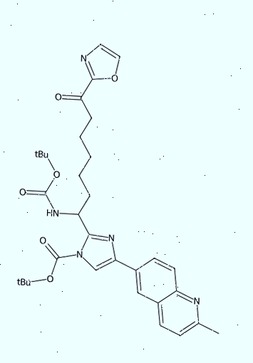 Cc1ccc2cc(-c3cn(C(=O)OC(C)(C)C)c(C(CCCCCC(=O)c4ncco4)NC(=O)OC(C)(C)C)n3)ccc2n1